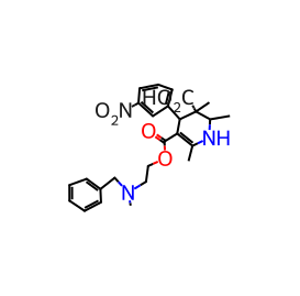 CC1=C(C(=O)OCCN(C)Cc2ccccc2)C(c2cccc([N+](=O)[O-])c2)C(C)(C(=O)O)C(C)N1